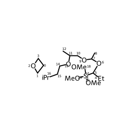 C1COC1.CCC(OC(C)OCC(C)OCCC(C)C)[Si](OC)(OC)OC